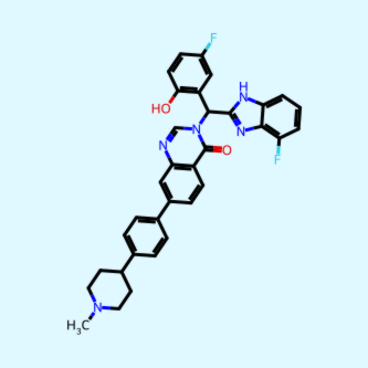 CN1CCC(c2ccc(-c3ccc4c(=O)n(C(c5nc6c(F)cccc6[nH]5)c5cc(F)ccc5O)cnc4c3)cc2)CC1